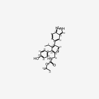 CCc1c(-c2ccc3n[nH]cc3c2)cnc(CNC(=O)OC(C)C)c1-c1ccc(O)cc1